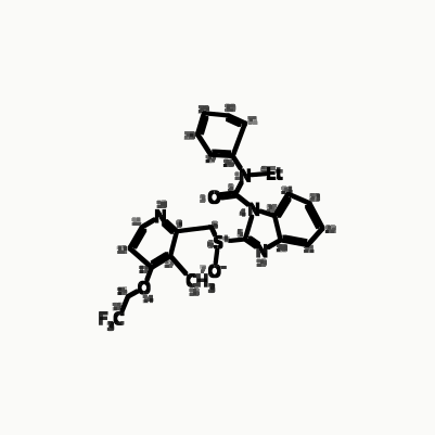 [CH2]CN(C(=O)n1c([S+]([O-])Cc2nccc(OCC(F)(F)F)c2C)nc2ccccc21)c1ccccc1